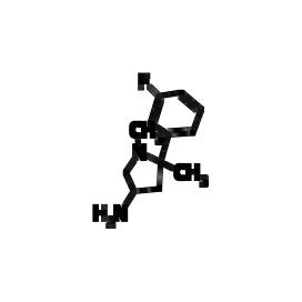 CN1CC(N)CC1(C)c1cccc(F)c1